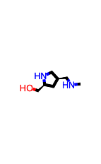 CNC[C@@H]1CN[C@H](CO)C1